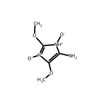 COC1=C(N)[NH+]([O-])C(OC)=[N+]1[O-]